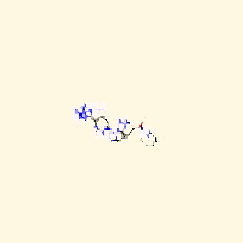 C[C@H]1CCCN(C(=O)c2cnc3c(ccn3-c3ccc(-c4nnc[nH]4)cn3)c2)C1